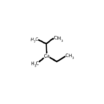 C[CH2][Ga]([CH3])[CH](C)C